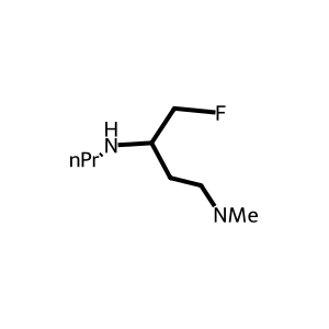 CCCNC(CF)CCNC